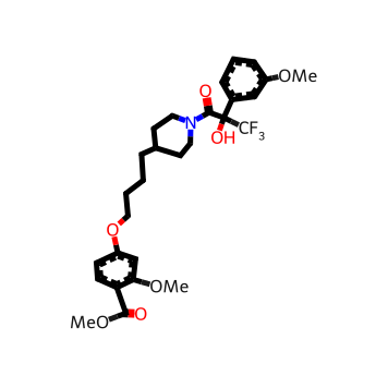 COC(=O)c1ccc(OCCCCC2CCN(C(=O)C(O)(c3cccc(OC)c3)C(F)(F)F)CC2)cc1OC